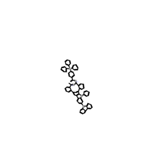 C=C(/N=C1\N=C(/C)c2ccccc2-c2cc(c3c(c2)c2ccc(-n4c5ccccc5c5ccccc54)cc2n3-c2ccccc2)-c2ccccc21)c1ccc([Si](c2ccccc2)(c2ccccc2)c2ccccc2)cc1